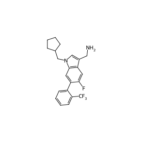 NCc1cn(CC2CCCC2)c2cc(-c3ccccc3C(F)(F)F)c(F)cc12